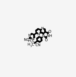 CC(C)(C#N)c1ccc(-n2c(=O)[nH]c(=O)c3cnc4ccc(-c5cnc(C#N)nc5)nc4c32)cc1